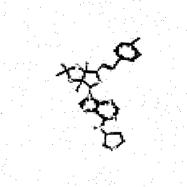 CC1(C)O[C@@H]2[C@H](O1)[C@@H](C=Cc1ccc(F)cc1)O[C@H]2n1cnc2c(NC3CCOC3)ncnc21